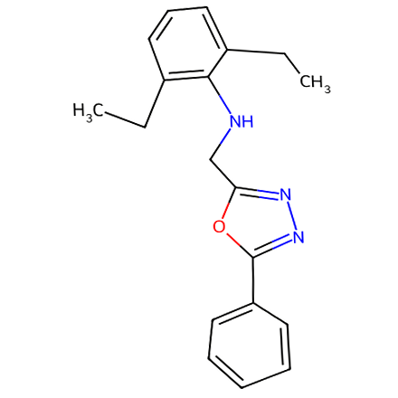 CCc1cccc(CC)c1NCc1nnc(-c2ccccc2)o1